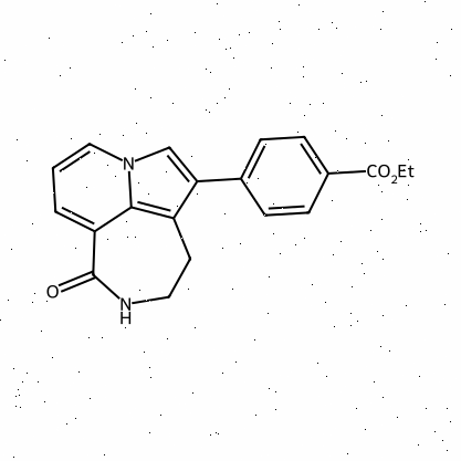 CCOC(=O)c1ccc(-c2cn3cccc4c3c2CCNC4=O)cc1